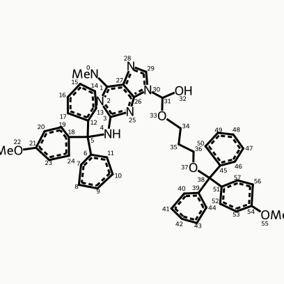 CNc1nc(NC(c2ccccc2)(c2ccccc2)c2ccc(OC)cc2)nc2c1ncn2C(O)OCCCOC(c1ccccc1)(c1ccccc1)c1ccc(OC)cc1